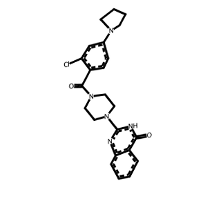 O=C(c1ccc(N2CCCC2)cc1Cl)N1CCN(c2nc3ccccc3c(=O)[nH]2)CC1